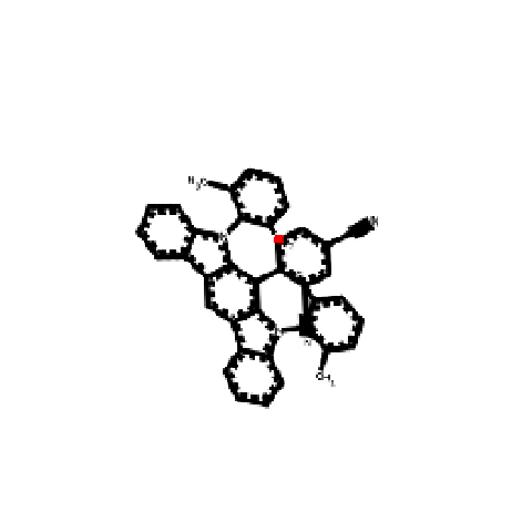 Cc1cccc(C)c1-n1c2ccccc2c2cc3c4ccccc4n(-c4c(C)cccc4C)c3c(-c3ccc(C#N)cc3C#N)c21